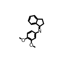 COc1ccc(/N=C2/CCc3ccccc32)cc1OC